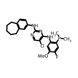 COc1cc(Nc2nc(Nc3ccc4c(c3)CCCCC4)ncc2Cl)c(P(C)C)cc1F